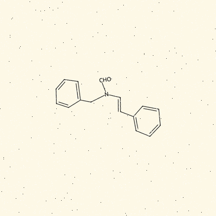 O=[C]N(C=Cc1ccccc1)Cc1ccccc1